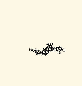 CC(C)C1=C2[C@H]3CC[C@@H]4[C@@]5(C)CC[C@H](OC(=O)CC(C)(C)CC(=O)O)[C@H](C)[C@@H]5CC[C@@]4(C)[C@]3(C)CC[C@@]2(C(=O)CN(CCN(C)C)Cc2ccc(Cl)cc2)CC1=O